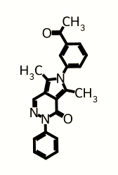 CC(=O)c1cccc(-n2c(C)c3cnn(-c4ccccc4)c(=O)c3c2C)c1